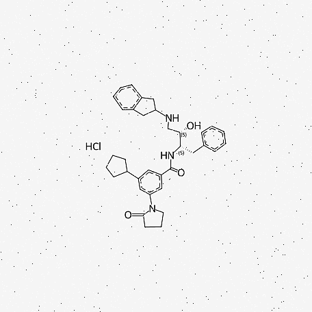 Cl.O=C(N[C@@H](Cc1ccccc1)[C@@H](O)CNC1Cc2ccccc2C1)c1cc(C2CCCC2)cc(N2CCCC2=O)c1